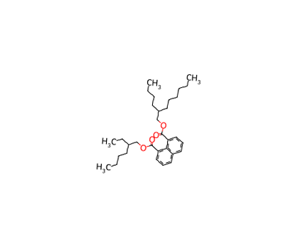 CCCCCCC(CCCC)COC(=O)c1cccc2cccc(C(=O)OCC(CC)CCCC)c12